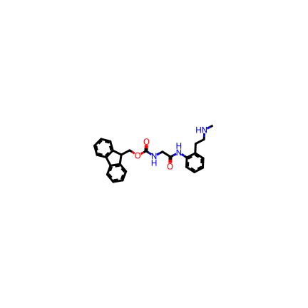 CNCCc1ccccc1NC(=O)CNC(=O)OCC1c2ccccc2-c2ccccc21